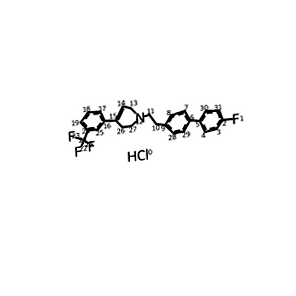 Cl.Fc1ccc(-c2ccc(CCN3CC=C(c4cccc(C(F)(F)F)c4)CC3)cc2)cc1